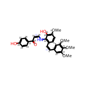 COc1ccc(/C=C\c2cc(OC)c(OC)c(OC)c2)c(N/C=C\C(=O)c2ccc(O)cc2)c1O